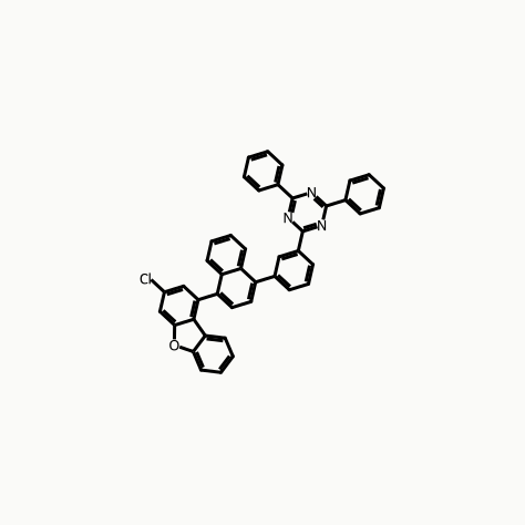 Clc1cc(-c2ccc(-c3cccc(-c4nc(-c5ccccc5)nc(-c5ccccc5)n4)c3)c3ccccc23)c2c(c1)oc1ccccc12